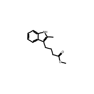 COC(=O)CCCc1c(C)[nH]c2ccccc12